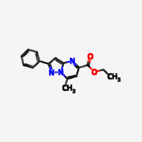 CCOC(=O)c1cc(C)n2nc(-c3ccccc3)cc2n1